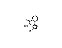 CC(C)(C)OC(=O)N1CCCCC1c1ncc(Br)[nH]1